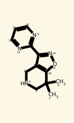 CC1(C)CNCc2c(-c3ncccn3)noc21